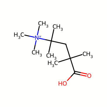 CC(C)(CC(C)(C)[N+](C)(C)C)C(=O)O